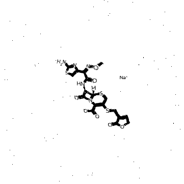 CO/N=C(\C(=O)N[C@@H]1C(=O)N2C(C(=O)[O-])=C(SCC3=CCOC3=O)CS[C@@H]12)c1csc(N)n1.[Na+]